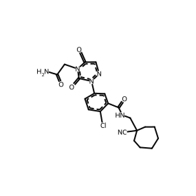 N#CC1(CNC(=O)c2cc(-n3ncc(=O)n(CC(N)=O)c3=O)ccc2Cl)CCCCCC1